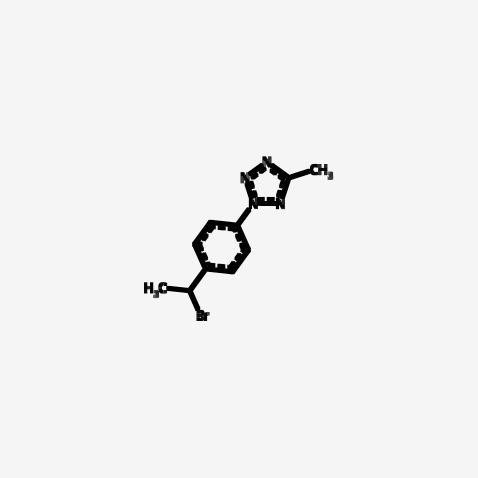 Cc1nnn(-c2ccc(C(C)Br)cc2)n1